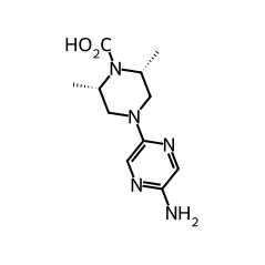 C[C@@H]1CN(c2cnc(N)cn2)C[C@H](C)N1C(=O)O